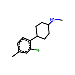 CNC1CCC(c2ccc(C)cc2F)CC1